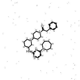 O=C(Cc1ccccc1)N1CCC(N2CCCC(Nc3nccc(N4CCCCCC4)n3)C2)CC1